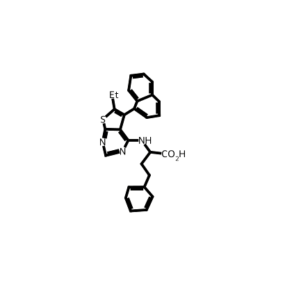 CCc1sc2ncnc(NC(CCc3ccccc3)C(=O)O)c2c1-c1cccc2ccccc12